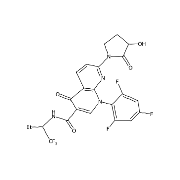 CCC(NC(=O)c1cn(-c2c(F)cc(F)cc2F)c2nc(N3CCC(O)C3=O)ccc2c1=O)C(F)(F)F